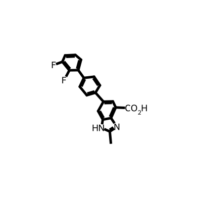 Cc1nc2c(C(=O)O)cc(-c3ccc(-c4cccc(F)c4F)cc3)cc2[nH]1